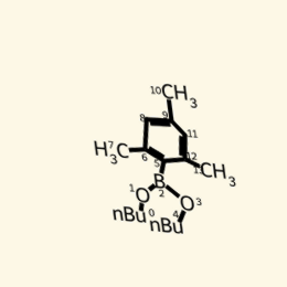 CCCCOB(OCCCC)c1c(C)cc(C)cc1C